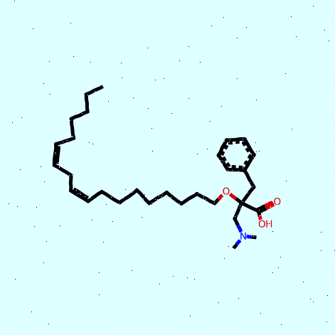 CCCCC/C=C\C/C=C\CCCCCCCCOC(Cc1ccccc1)(CN(C)C)C(=O)O